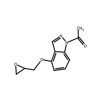 CC(=O)n1ncc2c(OCC3CO3)cccc21